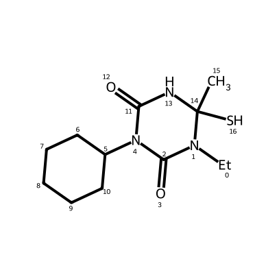 CCN1C(=O)N(C2CCCCC2)C(=O)NC1(C)S